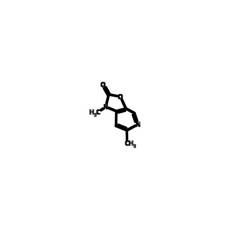 Cc1cc2c(cn1)oc(=O)n2C